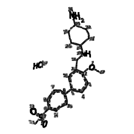 COc1ccc(-c2ccc(S(C)(=O)=O)cc2)cc1CNC1CCC(N)CC1.Cl